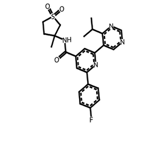 CC(C)c1ncncc1-c1cc(C(=O)NC2(C)CCS(=O)(=O)C2)cc(-c2ccc(F)cc2)n1